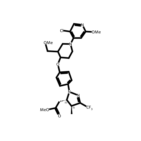 COCC1CN(c2cc(OC)ncc2Cl)CCC1Oc1ccc(N2N=C(C(F)(F)F)[C@@H](C)[C@@H]2CC(=O)OC)cc1